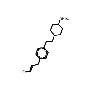 CCCCCCC1CCC(CCc2ccc(C/C=C/F)cc2)CC1